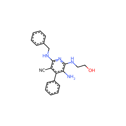 N#Cc1c(NCc2ccccc2)nc(NCCO)c(N)c1-c1ccccc1